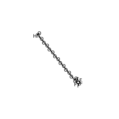 CC(=O)NCCOCCOCCOCCOCCOCCOCCOCCOCCOCCOCCOCCOCCC(=O)Oc1c(F)c(F)c(F)c(F)c1F